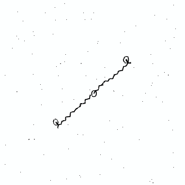 CC(=O)CCCCCCCCCCCCCCOCCCCCCCCCCCCCCC(C)=O